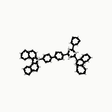 c1ccc(-c2nc(-c3ccc(-c4ccc(-n5c6ccc7ccccc7c6c6c7ccccc7ccc65)cc4)cc3)nc(-c3cc4ccccc4c4ccccc34)n2)cc1